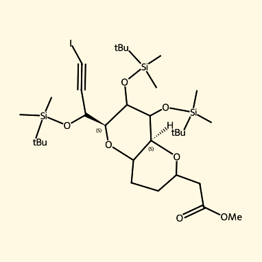 COC(=O)CC1CCC2O[C@@H](C(C#CI)O[Si](C)(C)C(C)(C)C)C(O[Si](C)(C)C(C)(C)C)C(O[Si](C)(C)C(C)(C)C)[C@H]2O1